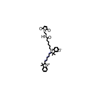 C[N+]1=C(/C=C/C=C/C=C2/N(CCCCCC(=O)NCCN3C(=O)C=CC3=O)c3ccccc3C2(C)C)C(C)(C)c2ccccc21.[Cl-]